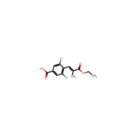 CCOC(=O)C(C)=Cc1c(Cl)cc(C(=O)O)cc1Cl